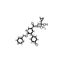 CC(O)(CNC(=O)c1cnc(OCc2ccccn2)c(-c2ccc(Cl)cc2)c1)C1CC1